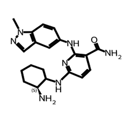 Cn1ncc2cc(Nc3nc(NC4CCCC[C@@H]4N)ccc3C(N)=O)ccc21